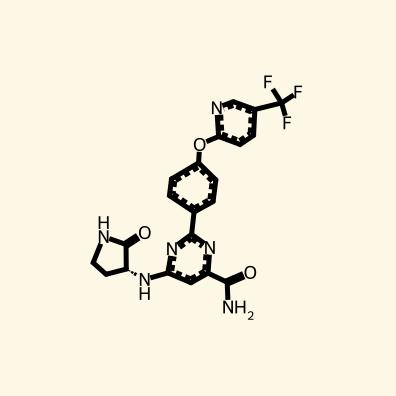 NC(=O)c1cc(N[C@@H]2CCNC2=O)nc(-c2ccc(Oc3ccc(C(F)(F)F)cn3)cc2)n1